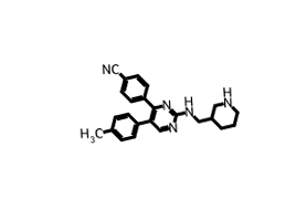 Cc1ccc(-c2cnc(NCC3CCCNC3)nc2-c2ccc(C#N)cc2)cc1